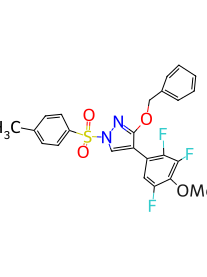 COc1c(F)cc(-c2cn(S(=O)(=O)c3ccc(C)cc3)nc2OCc2ccccc2)c(F)c1F